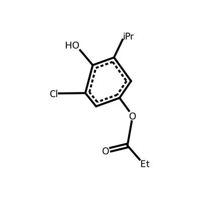 CCC(=O)Oc1cc(Cl)c(O)c(C(C)C)c1